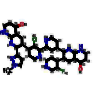 Cn1ccc(-c2nc3[nH]ccc(=O)c3cc2-c2ccnc(-c3cc(-c4nc5[nH]ccc(=O)c5cc4-c4ccncc4F)ccn3)c2Cl)n1